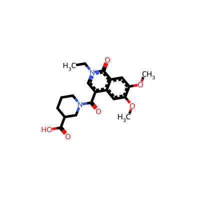 CCn1cc(C(=O)N2CCCC(C(=O)O)C2)c2cc(OC)c(OC)cc2c1=O